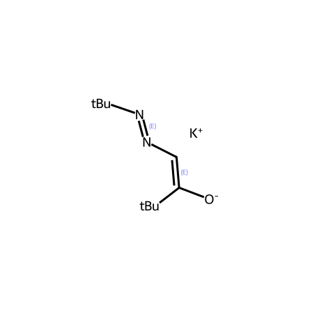 CC(C)(C)/N=N/C=C(/[O-])C(C)(C)C.[K+]